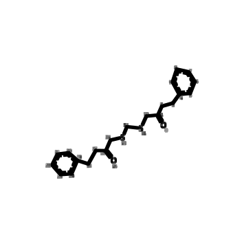 O=C(CCc1ccccc1)CSCSCC(=O)CCc1ccccc1